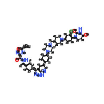 Cc1cc(-c2n[nH]c3ncc(-c4ccc(N5CCN(CC6CCN(c7ccc(N8CCC(=O)NC8=O)c(Cl)c7)CC6)CC5)cc4)cc23)ccc1C(C)NC(=O)c1noc(C(C)(C)C)n1